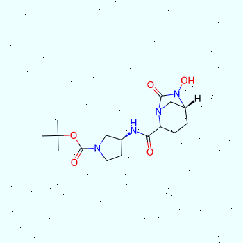 CC(C)(C)OC(=O)N1CC[C@H](NC(=O)C2CC[C@@H]3CN2C(=O)N3O)C1